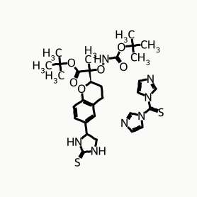 CC(C)(C)OC(=O)NOC(C)(C(=O)OC(C)(C)C)[C@H]1CCc2cc(C3CNC(=S)N3)ccc2O1.S=C(n1ccnc1)n1ccnc1